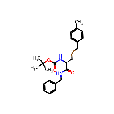 Cc1ccc(CSC[C@H](NC(=O)OC(C)(C)C)C(=O)NCc2ccccc2)cc1